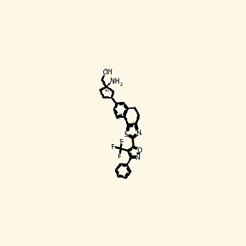 N[C@]1(CO)CCC(c2ccc3c(c2)CCc2nc(-c4onc(-c5ccccc5)c4C(F)(F)F)sc2-3)C1